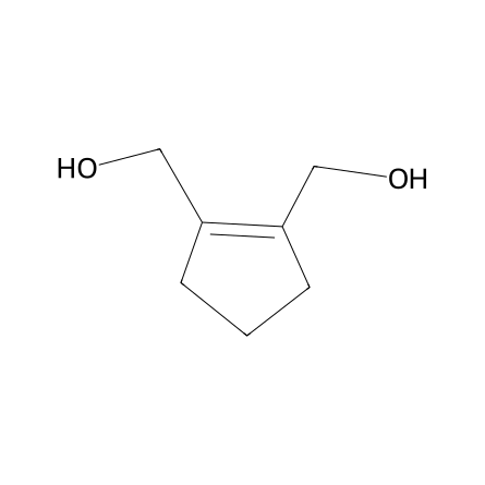 OCC1=C(CO)CCC1